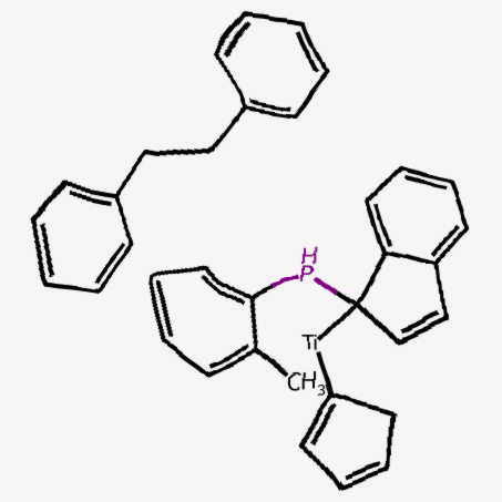 Cc1ccccc1P[C]1([Ti][C]2=CC=CC2)C=Cc2ccccc21.c1ccc(CCc2ccccc2)cc1